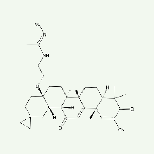 C/C(=N\C#N)NCCO[C@]12CCC3(CC3)C[C@H]1[C@H]1C(=O)C=C3[C@@]4(C)C=C(C#N)C(=O)C(C)(C)[C@@H]4CC[C@@]3(C)[C@]1(C)CC2